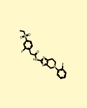 CCS(=O)(=O)c1ccc(CC(=O)Nc2nc3c(s2)CN(c2ccccc2F)CC3)c(F)c1